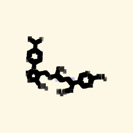 C=N/C(=C\C=C(/C)OCc1c(C)nnn1-c1ccc(C(F)F)cn1)c1cnc(N)nc1